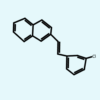 Clc1cccc(C=Cc2ccc3ccccc3c2)c1